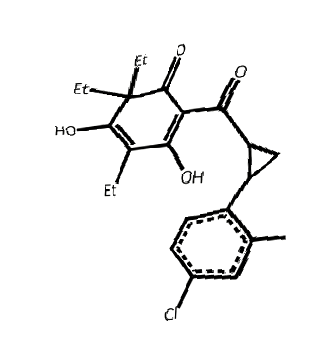 CCC1=C(O)C(CC)(CC)C(=O)C(C(=O)C2CC2c2ccc(Cl)cc2C)=C1O